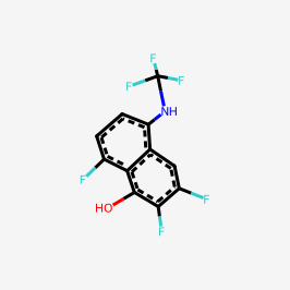 Oc1c(F)c(F)cc2c(NC(F)(F)F)ccc(F)c12